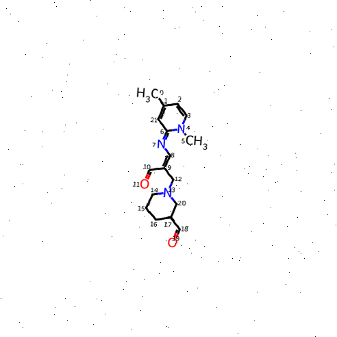 Cc1ccn(C)/c(=N\C=C(/C=O)CN2CCCC(C=O)C2)c1